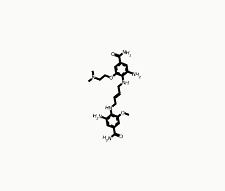 COc1cc(C(N)=O)cc(N)c1NC/C=C/CNc1c(N)cc(C(N)=O)cc1OCCN(C)C